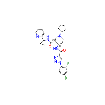 O=C(N[C@@H]1CCN(C2CCCC2)C[C@H]1C(=O)NC1(c2ccccn2)CC1)c1cn(-c2ccc(F)cc2F)nn1